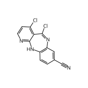 N#Cc1ccc2c(c1)N=C(Cl)c1c(Cl)ccnc1N2